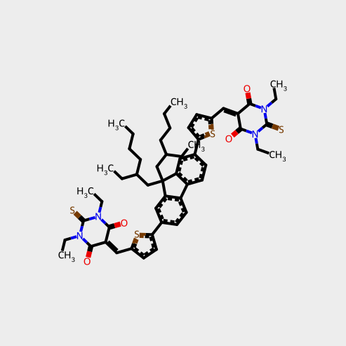 CCCCC(CC)CC1(CC(CC)CCCC)c2cc(-c3ccc(C=C4C(=O)N(CC)C(=S)N(CC)C4=O)s3)ccc2-c2ccc(-c3ccc(C=C4C(=O)N(CC)C(=S)N(CC)C4=O)s3)cc21